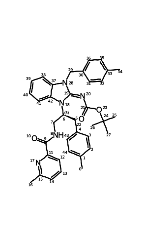 Cc1ccc(C[C@@H](CNC(=O)c2cccc(C)n2)n2c(=NC(=O)OC(C)(C)C)n(Cc3ccc(C)cc3)c3ccccc32)cc1